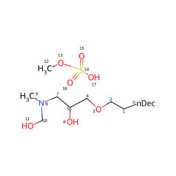 CCCCCCCCCCCCOCC(O)CN(C)CO.COS(=O)(=O)O